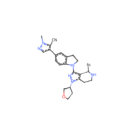 CC(=O)C1NCCc2c1c(N1CCc3cc(-c4cnn(C)c4C#N)ccc31)nn2C1CCOC1